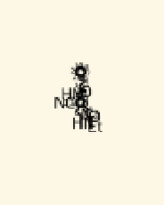 CCNC(=O)N1CCc2c(sc(NC(=O)CCc3ccccc3)c2C#N)C1